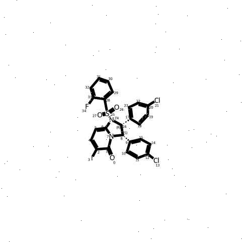 O=c1c(I)ccc2n1[C@@H](c1ccc(Cl)cc1)[C@@H](c1ccc(Cl)cc1)N2S(=O)(=O)c1ccccc1F